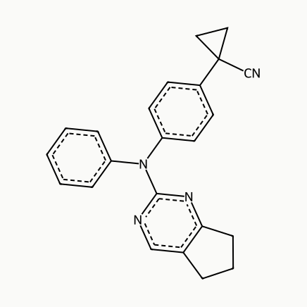 N#CC1(c2ccc(N(c3ccccc3)c3ncc4c(n3)CCC4)cc2)CC1